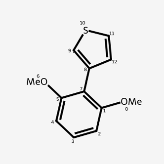 COc1cccc(OC)c1-c1[c]scc1